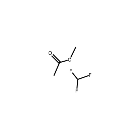 COC(C)=O.FC(F)F